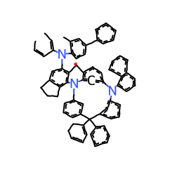 C/C=C\C(=C/C)N(c1ccc(-c2ccccc2)cc1C)c1cc2c(c(N3c4cccc(c4)C(C4=CC=CCC4)(c4ccccc4)c4cccc(c4)N(c4cccc5ccccc45)c4ccc(C)c3c4)c1C)CCC2